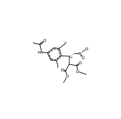 COC(=O)C(C(=O)OC)[C@@H](C[N+](=O)[O-])c1c(F)cc(NC(C)=O)cc1F